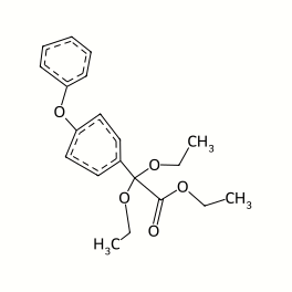 CCOC(=O)C(OCC)(OCC)c1ccc(Oc2ccccc2)cc1